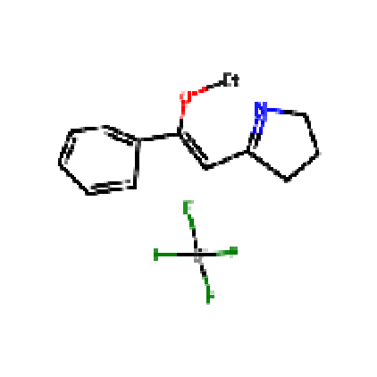 CCOC(=CC1=NCCC1)c1ccccc1.F[B-](F)(F)F